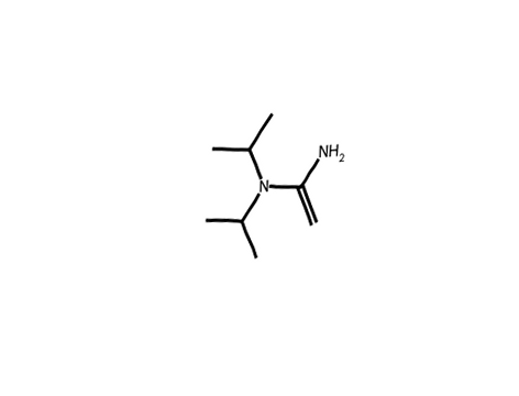 C=C(N)N(C(C)C)C(C)C